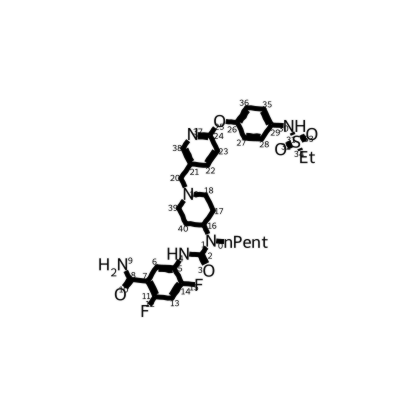 CCCCCN(C(=O)Nc1cc(C(N)=O)c(F)cc1F)C1CCN(Cc2ccc(Oc3ccc(NS(=O)(=O)CC)cc3)nc2)CC1